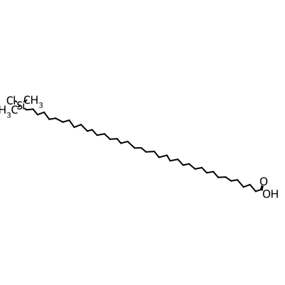 C[Si](C)(Cl)CCCCCCCCCCCCCCCCCCCCCCCCCCCCCCCCCCCCCCCC(=O)O